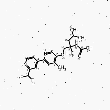 Cc1cc(-c2ccnc(C(F)F)c2)ncc1OCC(C)(CC(C)C)NC(=O)O